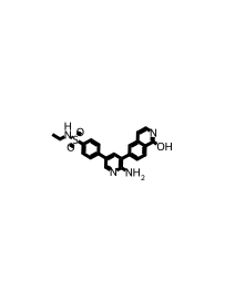 CCNS(=O)(=O)c1ccc(-c2cnc(N)c(-c3ccc4c(O)nccc4c3)c2)cc1